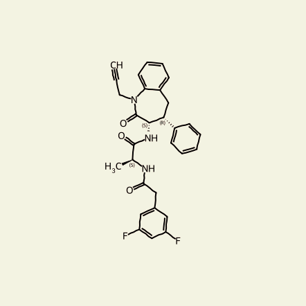 C#CCN1C(=O)[C@@H](NC(=O)[C@H](C)NC(=O)Cc2cc(F)cc(F)c2)[C@@H](c2ccccc2)Cc2ccccc21